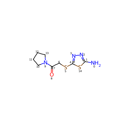 Nc1nnc(SCC(=O)N2CCCC2)s1